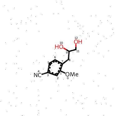 COc1cc(C#N)ccc1CC(O)CO